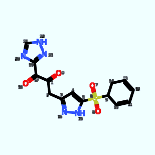 O=C(Cc1cc(S(=O)(=O)C2C=CC=CC2)[nH]n1)C(=O)c1nc[nH]n1